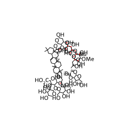 CC[C@H](C)[C@H](C[C@H](O)CC(=O)OC1CC(O)OC(OC(=O)[C@]23CCC(C)(C)CC2C2=CCC4[C@@]5(C)CC[C@H](OC6OC(C(=O)O)C(O)C(OC7OCC(O)C(O)C7O)C6OC6OC(CO)C(O)C(O)C6O)[C@@](C)(CNCCN)C5CC[C@@]4(C)[C@]2(C)C[C@H]3O)C1OC1OC(C)C(OC2OCC(O)C(OC)C2O)C(O)C1O)OC(=O)C[C@@H](O)C[C@H](OC1OC(CO)C(O)C1O)[C@@H](C)CC